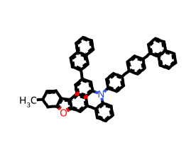 CC1C=Cc2c(oc3cc(-c4ccccc4N(c4ccc(-c5ccc(-c6cccc7ccccc67)cc5)cc4)c4cccc(-c5ccc6ccccc6c5)c4)ccc23)C1